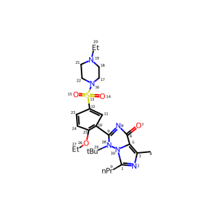 CCCc1nc(C)c2c(=O)nc(-c3cc(S(=O)(=O)N4CCN(CC)CC4)ccc3OCC)n(C(C)(C)C)n12